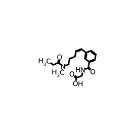 CCC(=O)N(C)CCC/C=C\c1cccc(C(=O)NCC(=O)O)c1